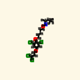 C/C(CC(C)(C)C)=N\OCCCCCOc1c(Cl)cc(OCC=C(Cl)Cl)cc1Cl